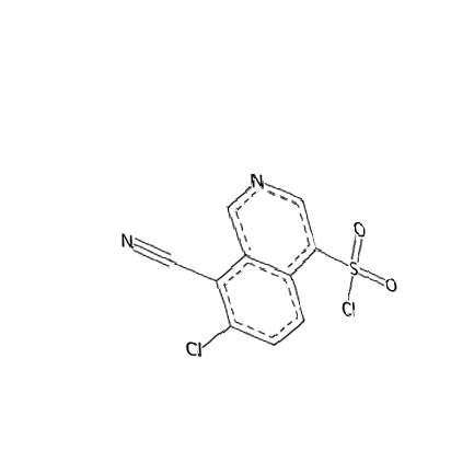 N#Cc1c(Cl)ccc2c(S(=O)(=O)Cl)cncc12